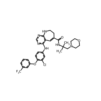 CC(C)(CN1CCOCC1)NC(=O)C1=Cc2c(ncnc2Nc2ccc(Oc3cccc(C(F)(F)F)c3)c(Cl)c2)NCC1